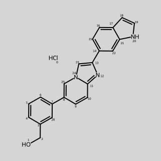 Cl.OCc1cccc(-c2ccc3nc(-c4ccc5cc[nH]c5c4)cn3c2)c1